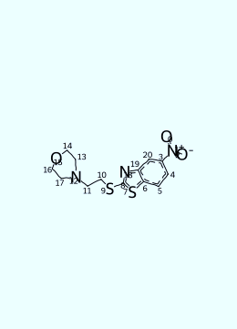 O=[N+]([O-])c1ccc2sc(SCCN3CCOCC3)nc2c1